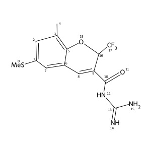 CSc1cc(C)c2c(c1)C=C(C(=O)NC(=N)N)C(C(F)(F)F)O2